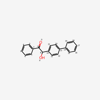 O=C(c1ccccc1)C(O)c1ccc(-c2ccccc2)cc1